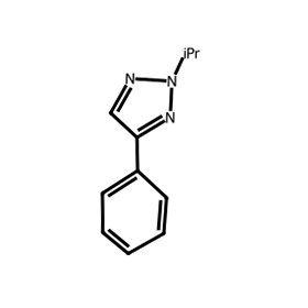 CC(C)n1ncc(-c2ccccc2)n1